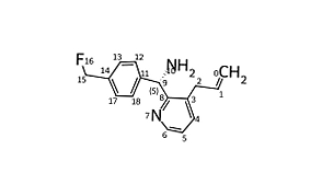 C=CCc1cccnc1[C@@H](N)c1ccc(CF)cc1